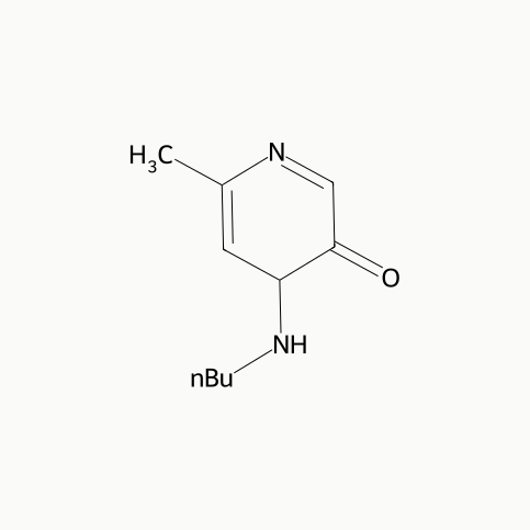 CCCCNC1C=C(C)N=CC1=O